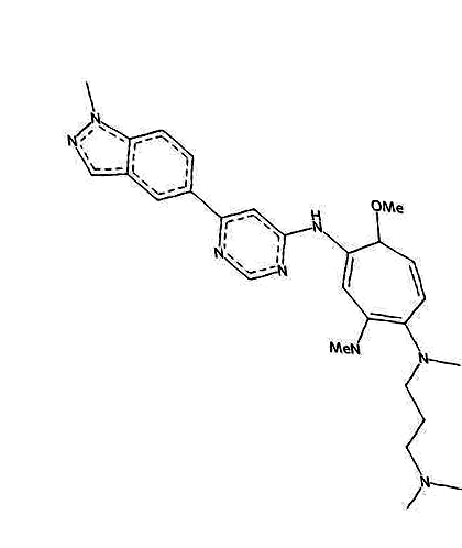 CNC1=C(N(C)CCCN(C)C)C=CC(OC)C(Nc2cc(-c3ccc4c(cnn4C)c3)ncn2)=C1